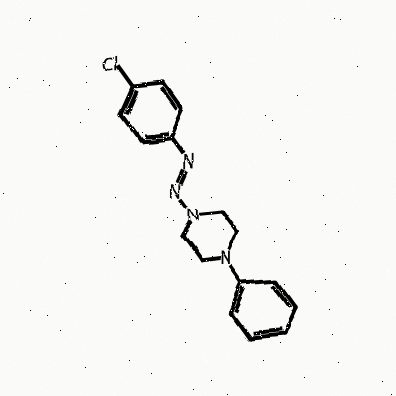 Clc1ccc(/N=N/N2CCN(c3ccccc3)CC2)cc1